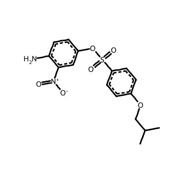 CC(C)COc1ccc(S(=O)(=O)Oc2ccc(N)c([N+](=O)[O-])c2)cc1